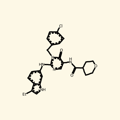 CCc1c[nH]c2cc(Nc3ncc(NC(=O)C4CCOCC4)c(=O)n3Cc3ccc(Cl)cc3)ccc12